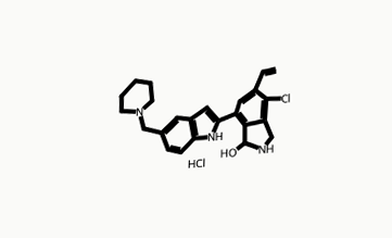 C=Cc1cc(-c2cc3cc(CN4CCCCC4)ccc3[nH]2)c2c(c1Cl)CNC2O.Cl